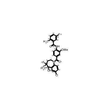 COc1cc(C(=O)N2CCC(F)(F)[C@](C)(O)c3cc(Cl)ccc32)ccc1NC(=O)c1cc(F)ccc1C